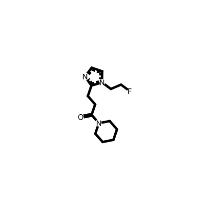 O=C(CCc1nccn1CCF)N1CCCCC1